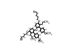 CCCc1c(OCCCCBr)ccc(Oc2ccc(OCCCCBr)c(CCC)c2-c2ccc(OC)cc2)c1-c1ccc(OC)cc1